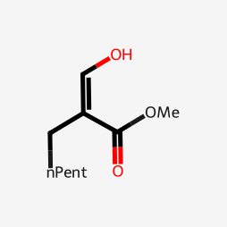 CCCCCCC(=CO)C(=O)OC